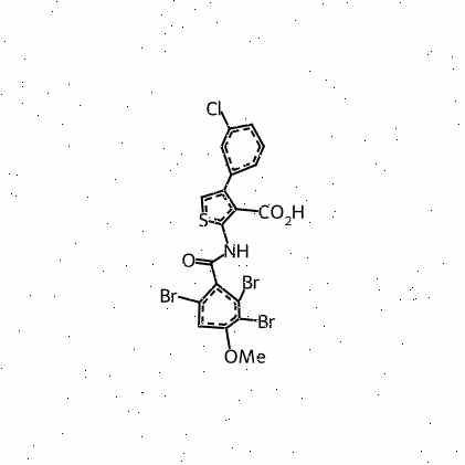 COc1cc(Br)c(C(=O)Nc2scc(-c3cccc(Cl)c3)c2C(=O)O)c(Br)c1Br